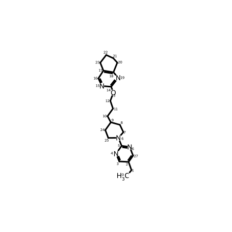 CCc1cnc(N2CCC(CCCOc3ncc4c(n3)CCCC4)CC2)nc1